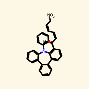 C=C(/C=C\C=C/C[N+](=O)[O-])c1cccc2c1N(c1ccccc1)c1ccccc1-c1ccccc1-2